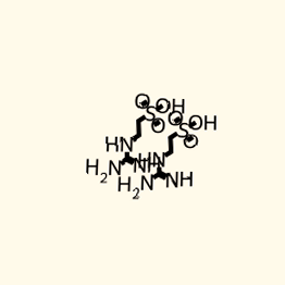 N=C(N)NCCS(=O)(=O)O.N=C(N)NCCS(=O)(=O)O